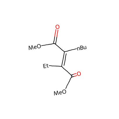 CCCCC(C(=O)OC)=C(CC)C(=O)OC